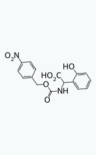 O=C(NC(C(=O)O)c1ccccc1O)OCc1ccc([N+](=O)[O-])cc1